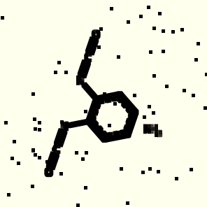 N.O=C=Nc1ccccc1N=C=O